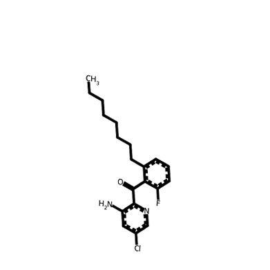 CCCCCCCCc1cccc(F)c1C(=O)c1ncc(Cl)cc1N